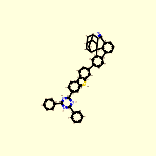 N#Cc1cccc2c1C1(c3cc(-c4ccc5c(c4)sc4cc(-c6nc(-c7ccccc7)nc(-c7ccccc7)n6)ccc45)ccc3-2)C2CC3CC(C2)CC1C3